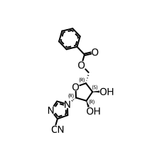 N#Cc1cn([C@@H]2O[C@H](COC(=O)c3ccccc3)[C@@H](O)[C@H]2O)cn1